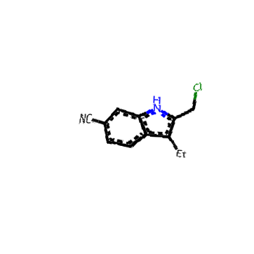 CCc1c(CCl)[nH]c2cc(C#N)ccc12